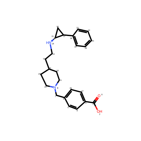 O=C(O)c1ccc(CN2CCC(CCN[C@H]3CC3c3ccccc3)CC2)cc1